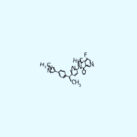 CC=C(c1ccc(-c2cnn(C)c2)cc1)c1ccc(NC(=O)c2cncc(F)c2C)nc1